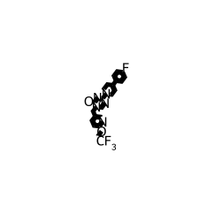 O=c1nc(N2CC=C(c3ccc(F)cc3)CC2)ncn1Cc1ccc(OCC(F)(F)F)nc1